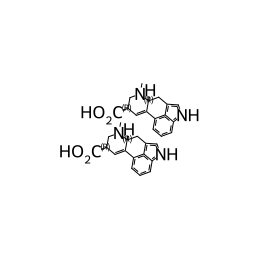 CN1C[C@H](C(=O)O)C=C2c3cccc4[nH]cc(c34)C[C@H]21.CN1C[C@H](C(=O)O)C=C2c3cccc4[nH]cc(c34)C[C@H]21